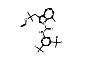 C=COC(C)(C)Cc1cn(C(=O)Nc2cc(C(F)(F)F)cc(C(F)(F)F)c2)c2c(C)cccc12